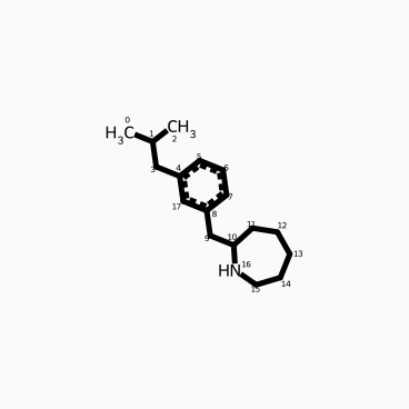 CC(C)Cc1cccc(CC2CCCCCN2)c1